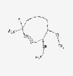 COC1C#CC(C)(F)CCCC1OC